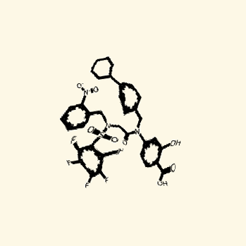 O=C(O)c1ccc(N(Cc2ccc(C3CCCCC3)cc2)C(=O)CN(Cc2ccccc2[N+](=O)[O-])S(=O)(=O)c2c(F)c(F)c(F)c(F)c2F)cc1O